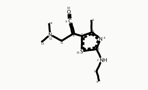 CCNc1nc(C)c(C(=C=O)CN(C)C)s1